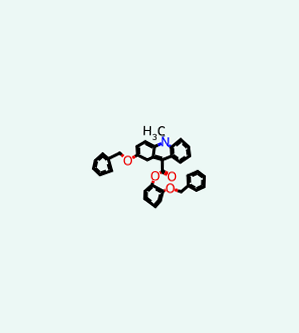 CN1C2=CC=C(OCc3ccccc3)CC2=C(C(=O)Oc2ccccc2OCc2ccccc2)c2ccccc21